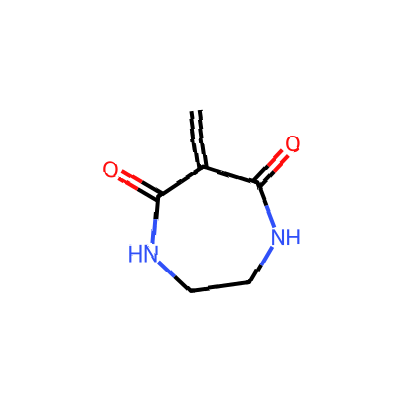 C=C1C(=O)NCCNC1=O